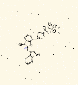 CC(C)(C)OC(=O)N1CCN(Cc2cccc3c2O/C(=C\c2c[nH]c4ncccc24)C3=O)CC1